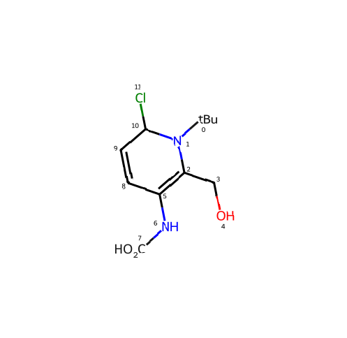 CC(C)(C)N1C(CO)=C(NC(=O)O)C=CC1Cl